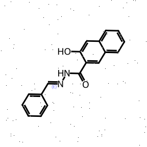 O=C(N/N=C/c1ccccc1)c1cc2ccccc2cc1O